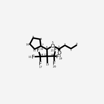 CCCC(=O)OC(C1CCCC1)C(C)(C(F)(F)F)C(F)(F)F